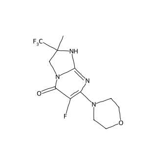 CC1(C(F)(F)F)Cn2c(nc(N3CCOCC3)c(F)c2=O)N1